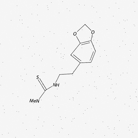 CNC(=S)NCCc1ccc2c(c1)OCO2